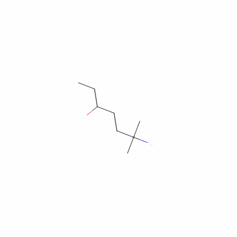 CCC(O)CCC(C)(C)N